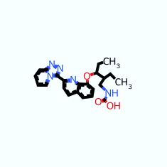 CCC(CNC(=O)O)C(CC)Oc1cccc2ccc(-c3nnc4ccccn34)nc12